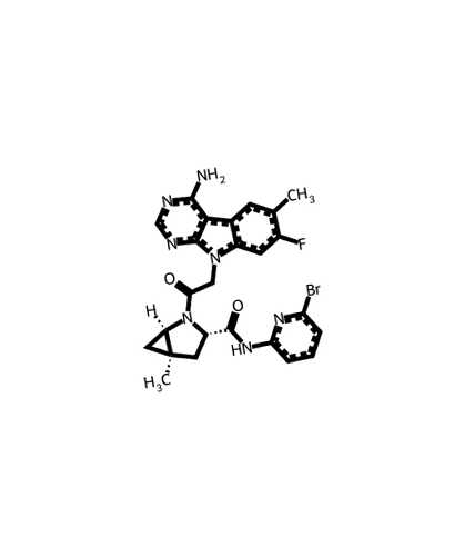 Cc1cc2c3c(N)ncnc3n(CC(=O)N3[C@H](C(=O)Nc4cccc(Br)n4)C[C@@]4(C)C[C@@H]34)c2cc1F